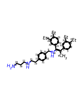 CCc1ccc(/C(C)=C(/NCc2ccc(CCNCCCN)cc2)c2ccc(CC)c(CC)c2)cc1CC